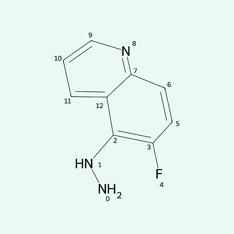 NNc1c(F)ccc2ncccc12